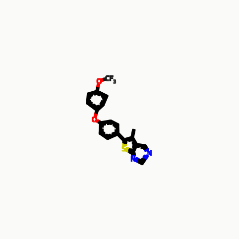 Cc1c(-c2ccc(Oc3ccc(OC(F)(F)F)cc3)cc2)sc2ncncc12